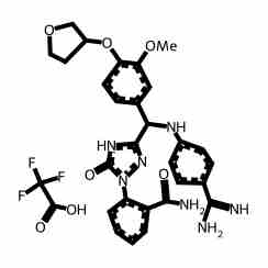 COc1cc(C(Nc2ccc(C(=N)N)cc2)c2nn(-c3ccccc3C(N)=O)c(=O)[nH]2)ccc1OC1CCOC1.O=C(O)C(F)(F)F